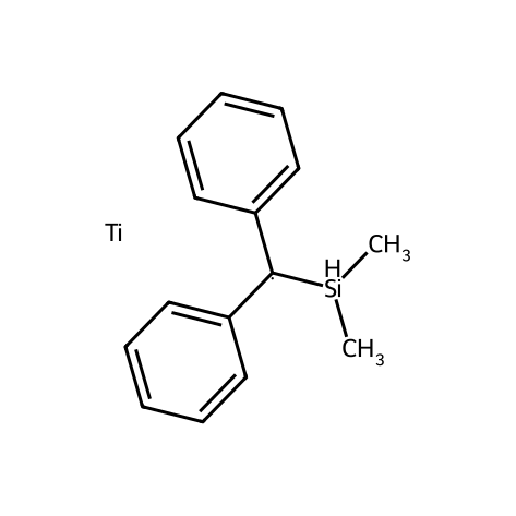 C[SiH](C)[C](c1ccccc1)c1ccccc1.[Ti]